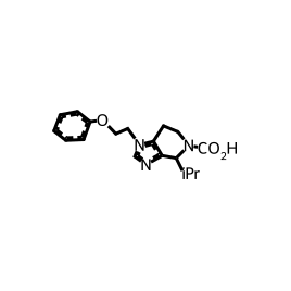 CC(C)C1c2ncn(CCOc3ccccc3)c2CCN1C(=O)O